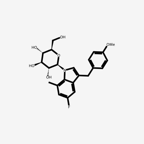 COc1ccc(Cc2cn([C@@H]3O[C@H](CO)[C@@H](O)[C@H](O)[C@H]3O)c3c(C)cc(F)cc23)cc1